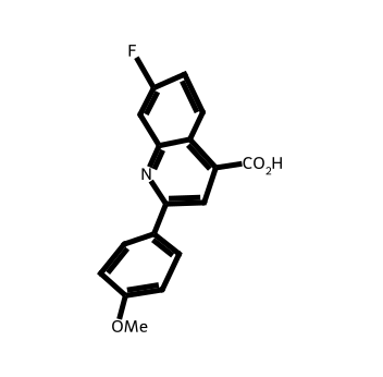 COc1ccc(-c2cc(C(=O)O)c3ccc(F)cc3n2)cc1